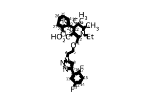 CCN1C(COCCn2cc(-c3cc(F)ccc3F)nn2)=C(C(=O)O)C(c2ccccc2Cl)C(C)(C(=O)O)C1C